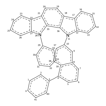 c1ccc(-c2cccc3cc(-n4c5ccccc5c5ccc6c7ccccc7n(-c7ccccc7)c6c54)ccc23)cc1